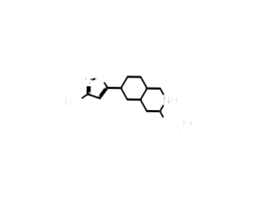 CCOC(=O)C1CC2CC(c3cc(O)no3)CCC2CN1